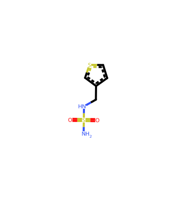 NS(=O)(=O)NCc1ccsc1